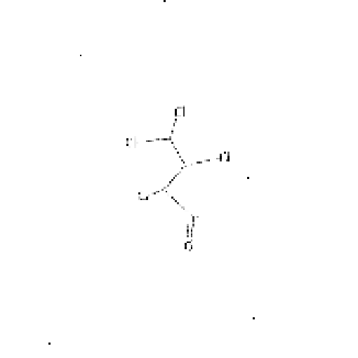 O=[C]C(Cl)C(Cl)C(Cl)Cl